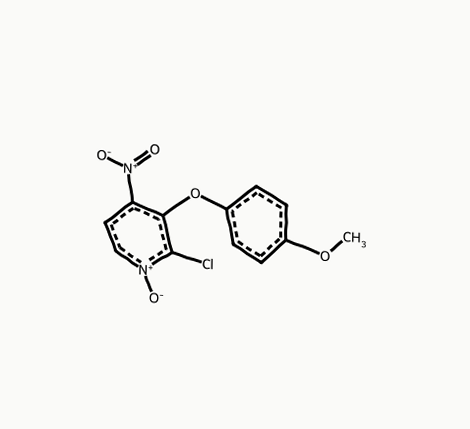 COc1ccc(Oc2c([N+](=O)[O-])cc[n+]([O-])c2Cl)cc1